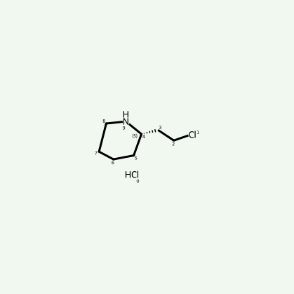 Cl.ClCC[C@@H]1CCCCN1